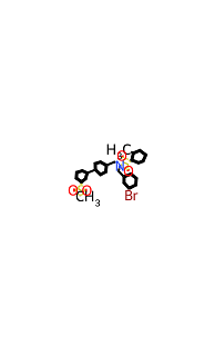 Cc1ccccc1S(=O)(=O)N(Cc1ccc(-c2cccc(S(C)(=O)=O)c2)cc1)Cc1cccc(Br)c1